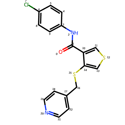 O=C(Nc1ccc(Cl)cc1)c1cscc1SCc1ccncc1